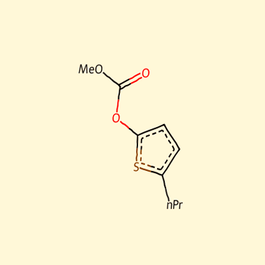 CCCc1ccc(OC(=O)OC)s1